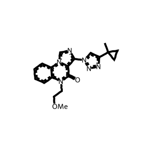 COCCn1c(=O)c2c(-n3cc(C4(C)CC4)nn3)ncn2c2ccccc21